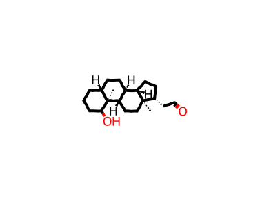 C[C@]12CC[C@H]3[C@@H](CC[C@H]4CCCC(O)[C@@]43C)[C@@H]1CC[C@@H]2CC=O